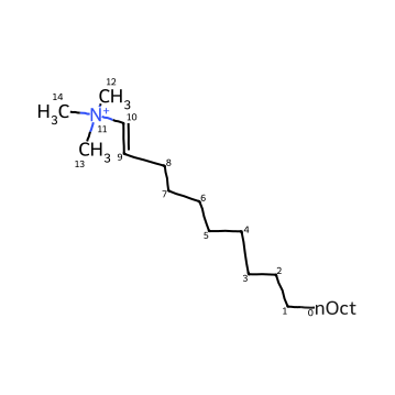 CCCCCCCCCCCCCCCCC=C[N+](C)(C)C